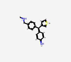 CNCc1ccc(C(=C2C=CC(=N)C=C2)c2ccsc2)cc1